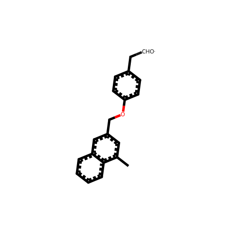 Cc1cc(COc2ccc(C[C]=O)cc2)cc2ccccc12